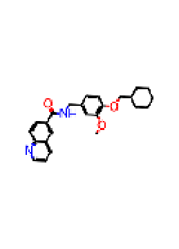 COc1cc(CNC(=O)c2ccc3ncccc3c2)ccc1OCC1CCCCC1